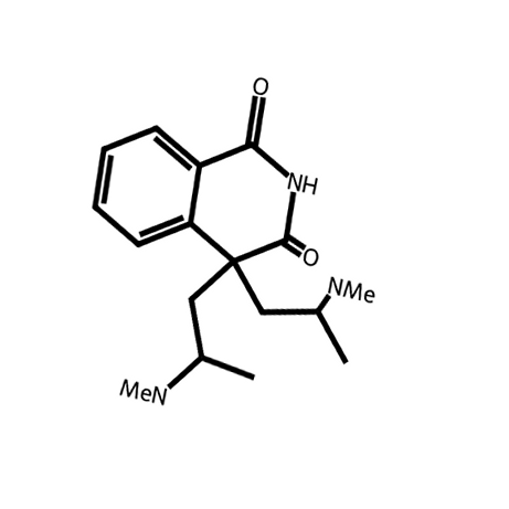 CNC(C)CC1(CC(C)NC)C(=O)NC(=O)c2ccccc21